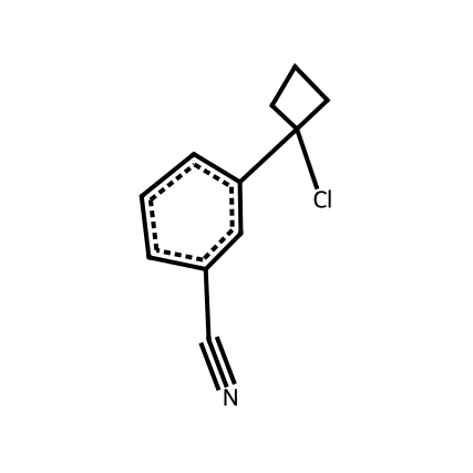 N#Cc1cccc(C2(Cl)CCC2)c1